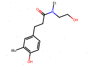 CCN(CCO)C(=O)CCc1ccc(O)c(C(C)(C)C)c1